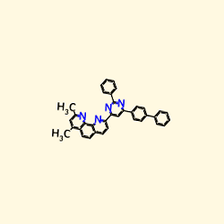 Cc1cc(C)c2ccc3ccc(-c4cc(-c5ccc(-c6ccccc6)cc5)nc(-c5ccccc5)n4)nc3c2n1